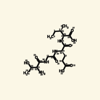 CC[C@H](C)[C@H](NC(=O)[C@H](CCC(=O)O)NC(=O)CNC(=O)[C@@H](N)[C@@H](C)O)C(=O)O